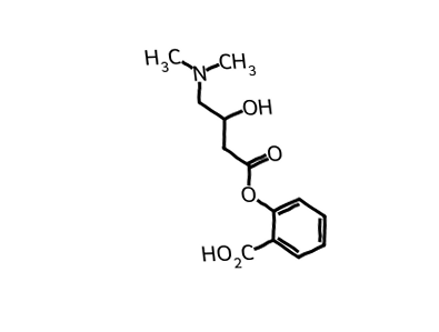 CN(C)CC(O)CC(=O)Oc1ccccc1C(=O)O